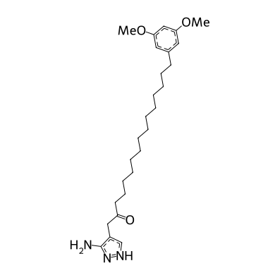 COc1cc(CCCCCCCCCCCCCCC(=O)Cc2c[nH]nc2N)cc(OC)c1